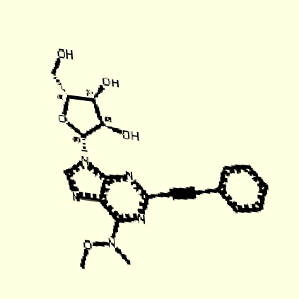 CON(C)c1nc(C#Cc2ccccc2)nc2c1ncn2[C@@H]1O[C@H](CO)[C@@H](O)[C@H]1O